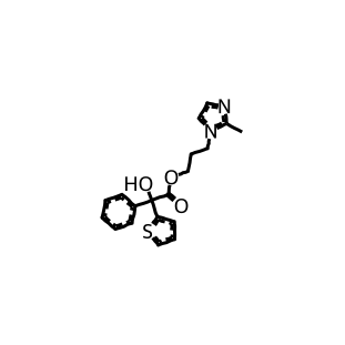 Cc1nccn1CCCOC(=O)C(O)(c1ccccc1)c1cccs1